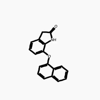 O=C1Cc2cccc(Oc3cccc4ccccc34)c2N1